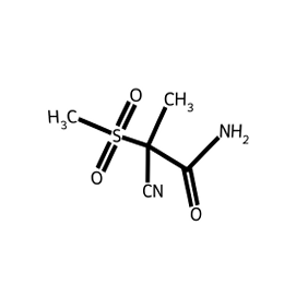 CC(C#N)(C(N)=O)S(C)(=O)=O